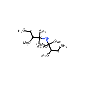 COC(C[SiH3])C(NC(OC)(OC)C(C[SiH3])OC)(OC)OC